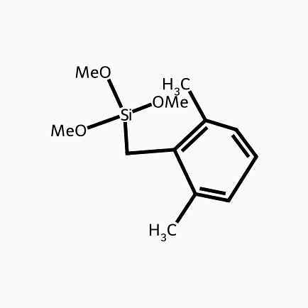 CO[Si](Cc1c(C)cccc1C)(OC)OC